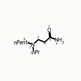 CCCCCN(CCC)CCC(N)=O